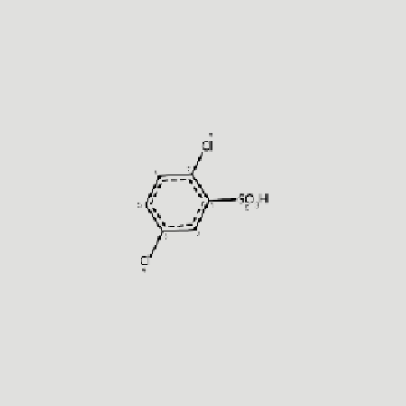 O=S(=O)(O)c1cc(Cl)[c]cc1Cl